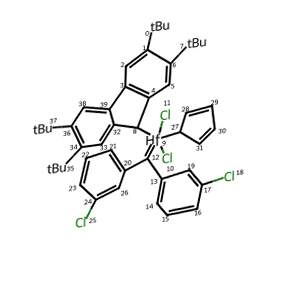 CC(C)(C)c1cc2c(cc1C(C)(C)C)[CH]([Hf]([Cl])([Cl])(=[C](c1cccc(Cl)c1)c1cccc(Cl)c1)[CH]1C=CC=C1)c1cc(C(C)(C)C)c(C(C)(C)C)cc1-2